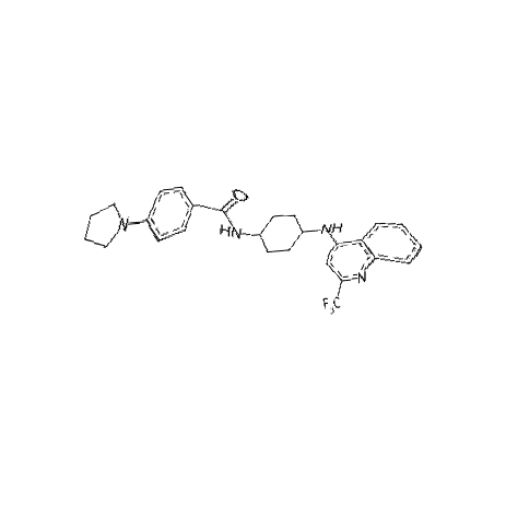 O=C(NC1CCC(Nc2cc(C(F)(F)F)nc3ccccc23)CC1)c1ccc(N2CCCC2)cc1